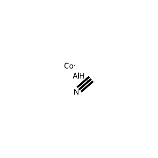 C#N.[AlH3].[Co]